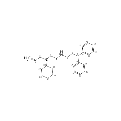 C=CCN(CCNCCC(c1ccccc1)c1ccccc1)C1CCCCC1